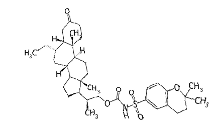 CC[C@H]1C[C@H]2C3CC[C@H]([C@H](C)COC(=O)NS(=O)(=O)c4ccc5c(c4)CCC(C)(C)O5)[C@@]3(C)CC[C@@H]2[C@@]2(C)CCC(=O)C[C@@H]12